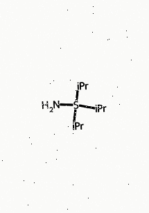 CC(C)S(N)(C(C)C)C(C)C